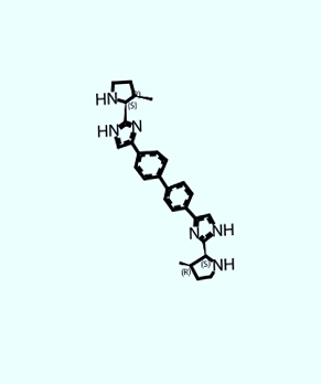 C[C@@H]1CCN[C@@H]1c1nc(-c2ccc(-c3ccc(-c4c[nH]c([C@H]5NCC[C@H]5C)n4)cc3)cc2)c[nH]1